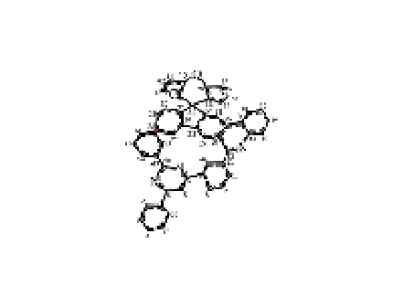 c1ccc(-c2cc(-c3cccc(-c4nc5ccccc5c5cc6c(cc45)-c4ccccc4C64c5ccccc5Oc5ccccc54)c3)nc(-c3ccccc3)n2)cc1